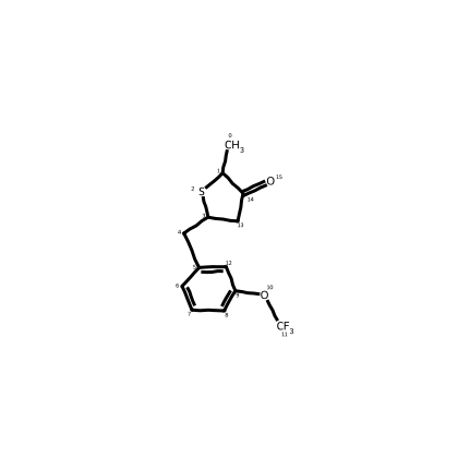 CC1SC(Cc2cccc(OC(F)(F)F)c2)CC1=O